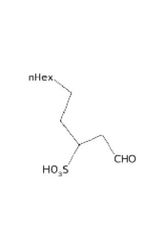 CCCCCCCCC(CC=O)S(=O)(=O)O